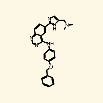 CN(C)Cc1cnc(-c2ccc3ncnc(Nc4ccc(OCc5ccccc5)cc4)c3c2)[nH]1